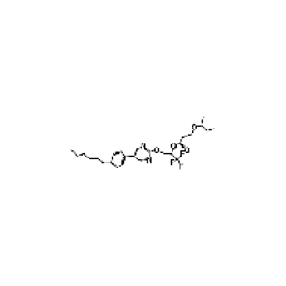 CCCCCCc1ccc(-c2cnc(OCC(OC(=O)CCOC(C)CC)C(F)(F)F)nc2)cc1